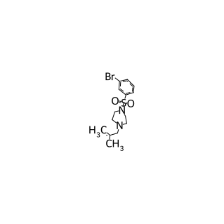 C[C](C)CN1CCN(S(=O)(=O)c2cccc(Br)c2)CC1